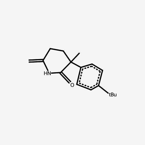 C=C1CCC(C)(c2ccc(C(C)(C)C)cc2)C(=O)N1